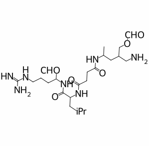 CC(C)CC(NC(=O)CCC(=O)NC(C)CC(CN)COC=O)C(=O)NC(C=O)CCCNC(=N)N